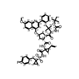 C=CC1C[C@]1(NC(=O)[C@@H]1C[C@@H](Oc2cc(-c3ccccc3)nc3cc(OC)ccc23)CN1C(=O)[C@@H](NC(=O)OC(C)(C)C)C(C)(C)C)C(=O)NS(=O)(=O)C1(Cc2ccc(F)cc2)CC1